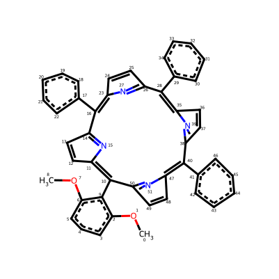 COc1cccc(OC)c1C1=C2C=CC(=N2)C(c2ccccc2)=C2C=CC(=N2)C(c2ccccc2)=C2C=CC(=N2)C(c2ccccc2)=C2C=CC1=N2